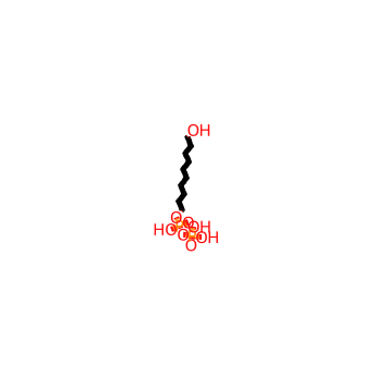 O=P(O)(O)OP(=O)(O)OCCCCCCCCCCO